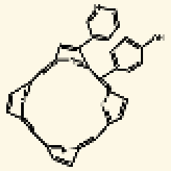 Oc1ccc(C2=C3C=CC(=N3)C=C3C=CC(=N3)C=C3C=CC(=N3)C=C3C=C(c4cccnc4)C2=N3)cc1